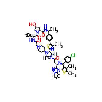 Cc1ncsc1-c1ccc([C@H](C)NC(=O)[C@@H]2C[C@@H](O)CN2C(=O)[C@@H](NC(=O)CN2CCC(N3C[C@H]4C[C@@H]3CN4C(=O)C[C@@H]3N=C(c4ccc(Cl)cc4)c4c(sc(C)c4C)-n4c(C)nnc43)CC2)C(C)(C)C)cc1